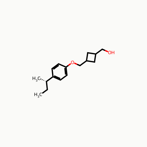 CC[C@H](C)c1ccc(OCC2CC(CO)C2)cc1